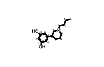 CCCCN1CCCC(c2cc(O)cc(O)c2)C1